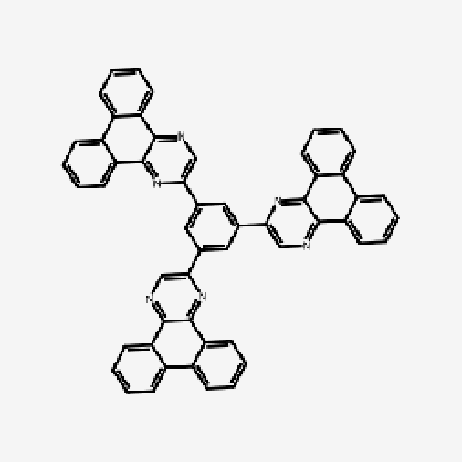 c1ccc2c(c1)c1ccccc1c1nc(-c3cc(-c4cnc5c6ccccc6c6ccccc6c5n4)cc(-c4cnc5c6ccccc6c6ccccc6c5n4)c3)cnc21